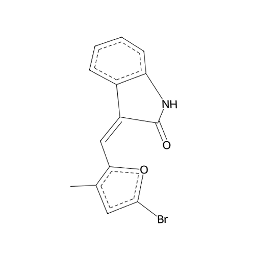 Cc1cc(Br)oc1C=C1C(=O)Nc2ccccc21